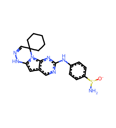 N[S+]([O-])c1ccc(Nc2ncc3cc4n(c3n2)C2(C=NN4)CCCCC2)cc1